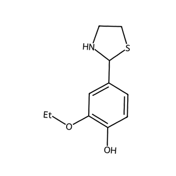 CCOc1cc(C2NCCS2)ccc1O